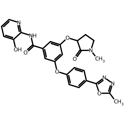 Cc1nnc(-c2ccc(Oc3cc(OC4CCN(C)C4=O)cc(C(=O)Nc4ncccc4O)c3)cc2)o1